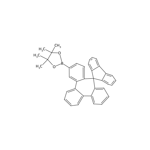 CC1(C)OB(c2ccc3c(c2)-c2ccccc2-c2ccccc2C32c3ccccc3-c3ccccc32)OC1(C)C